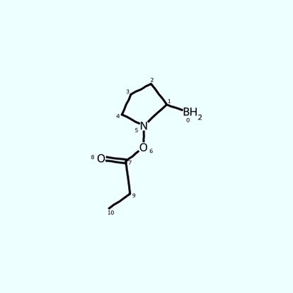 BC1CCCN1OC(=O)CC